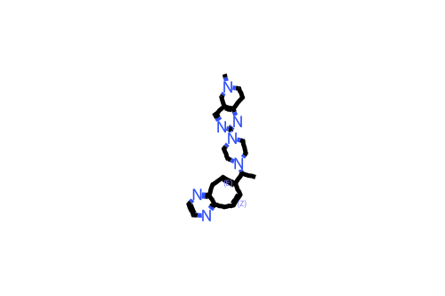 CC(C1=C/Cc2nccnc2C/C=C\1)N1CCN(c2ncc3c(n2)CCN(C)C3)CC1